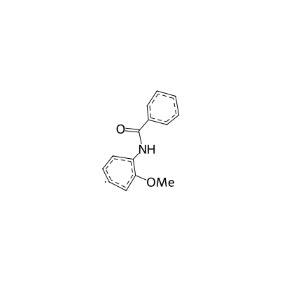 COc1c[c]ccc1NC(=O)c1ccccc1